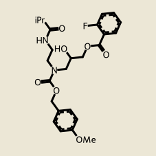 COc1ccc(COC(=O)N(CCNC(=O)C(C)C)CC(O)COC(=O)c2ccccc2F)cc1